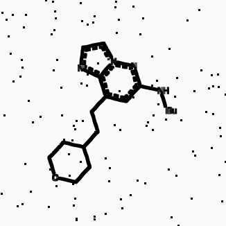 CCC(C)Nc1cc(CCC2CCOCC2)c2nccn2n1